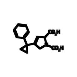 O=C(O)C1C=C(C2(c3ccccc3)CC2)CN1C(=O)O